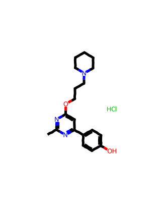 Cc1nc(OCCCN2CCCCC2)cc(-c2ccc(O)cc2)n1.Cl